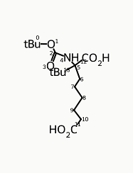 CC(C)(C)OC(=O)NC(CCCCCC(=O)O)(C(=O)O)C(C)(C)C